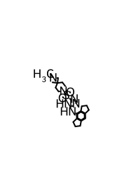 CN1CC2(CCN(S(=O)(=O)c3nnc(Nc4c5c(cc6c4CCC6)CCC5)[nH]3)CC2)C1